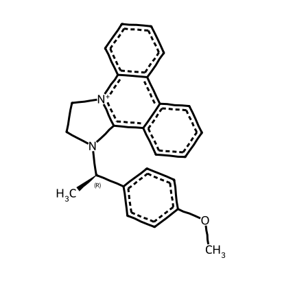 COc1ccc([C@@H](C)N2CC[n+]3c2c2ccccc2c2ccccc23)cc1